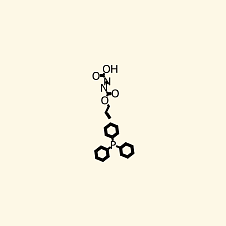 C=CCOC(=O)N=NC(=O)O.c1ccc(P(c2ccccc2)c2ccccc2)cc1